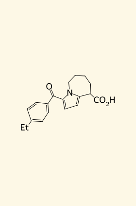 CCc1ccc(C(=O)c2ccc3n2CCCCC3C(=O)O)cc1